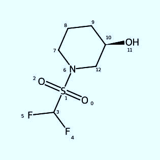 O=S(=O)(C(F)F)N1CCC[C@@H](O)C1